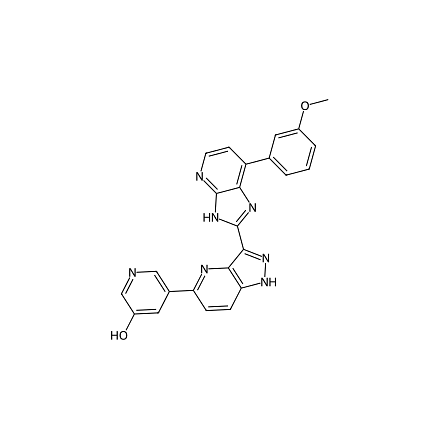 COc1cccc(-c2ccnc3[nH]c(-c4n[nH]c5ccc(-c6cncc(O)c6)nc45)nc23)c1